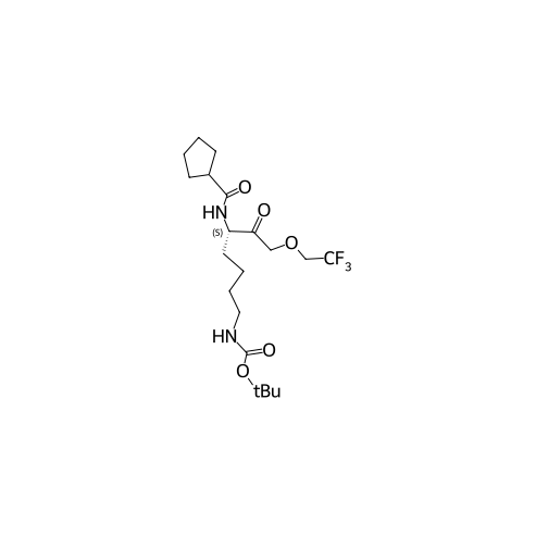 CC(C)(C)OC(=O)NCCCC[C@H](NC(=O)C1CCCC1)C(=O)COCC(F)(F)F